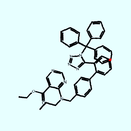 CCCN(Cc1ccc(-c2ccccc2-c2nnnn2C(c2ccccc2)(c2ccccc2)c2ccccc2)cc1)c1ncncc1C(=O)OCC